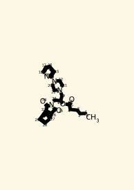 CCCCCC(=O)OC(CN1CCN(c2ccccn2)CC1)CN1C(=O)C2C3C=CC(C3)C2C1=O